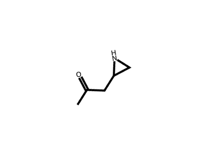 CC(=O)CC1CN1